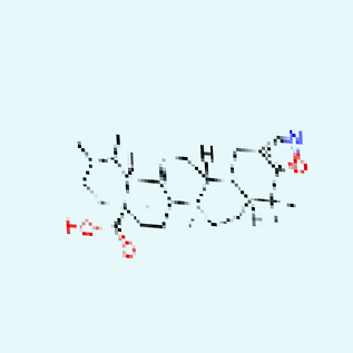 C[C@@H]1[C@H](C)CC[C@@]2(C(=O)O)CC[C@@]3(C)C(=CC[C@@H]4[C@@]5(C)Cc6cnoc6C(C)(C)[C@@H]5CC[C@]43C)[C@@H]12